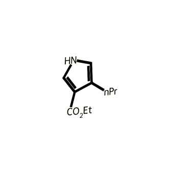 CCCc1c[nH]cc1C(=O)OCC